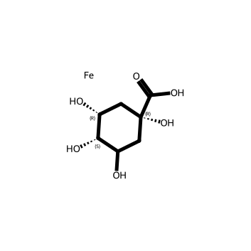 O=C(O)[C@@]1(O)CC(O)[C@H](O)[C@H](O)C1.[Fe]